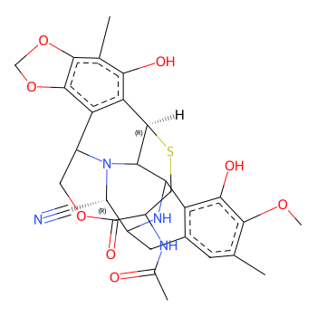 COc1c(C)cc2c(c1O)C1NC(C2)[C@H](C#N)N2C3COC(=O)C(NC(C)=O)CS[C@H](c4c(O)c(C)c5c(c43)OCO5)C12